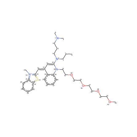 CCCN(CCCN(C)C)C1=C/C(=C/c2sc3ccccc3[n+]2C)c2ccccc2N1CCOCCOCCOCCOC